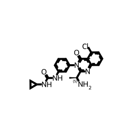 C[C@H](N)c1nc2cccc(Cl)c2c(=O)n1-c1cccc(NC(=O)NC2CC2)c1